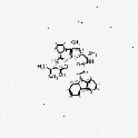 CC(C)[C@H](NC(=O)[C@H]1CCCN1C(=O)[C@H](C)NC(=O)[C@H](C)NC(=O)CCn1c2ccccc2c2ccccc21)C(=O)O